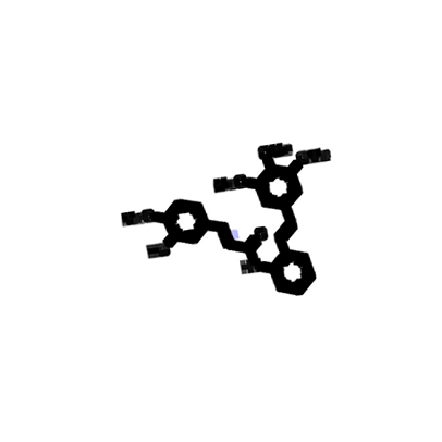 COc1ccc(/C=C/C(=O)Nc2ccccc2C=Cc2cc(OC)c(OC)c(OC)c2)cc1O